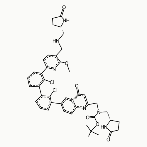 COc1nc(-c2cccc(-c3cccc(-c4ccc5nc(CN(C[C@@H]6CCC(=O)N6)C(=O)OC(C)(C)C)cc(=O)n5c4)c3Cl)c2Cl)ccc1CNC[C@@H]1CCC(=O)N1